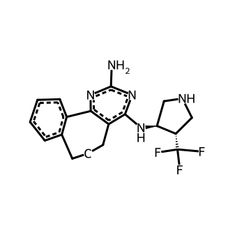 Nc1nc(N[C@H]2CNC[C@@H]2C(F)(F)F)c2c(n1)-c1ccccc1CCC2